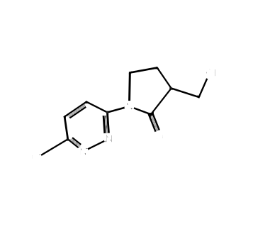 O=C1C(CO)CCN1c1ccc(Cl)nn1